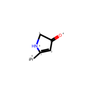 CC(C)C1=CC(=O)CN1